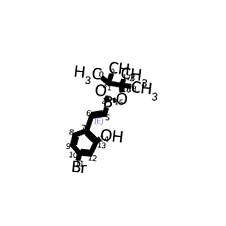 CC1(C)OB(/C=C/c2ccc(Br)cc2O)OC1(C)C